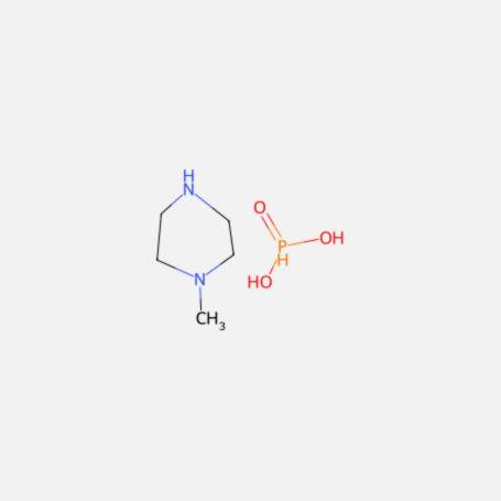 CN1CCNCC1.O=[PH](O)O